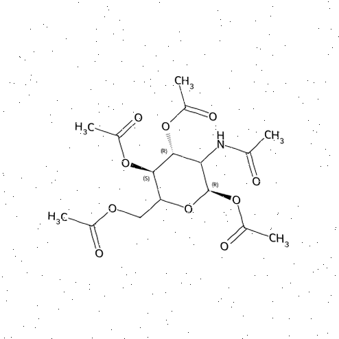 CC(=O)NC1[C@@H](OC(C)=O)OC(COC(C)=O)[C@@H](OC(C)=O)[C@@H]1OC(C)=O